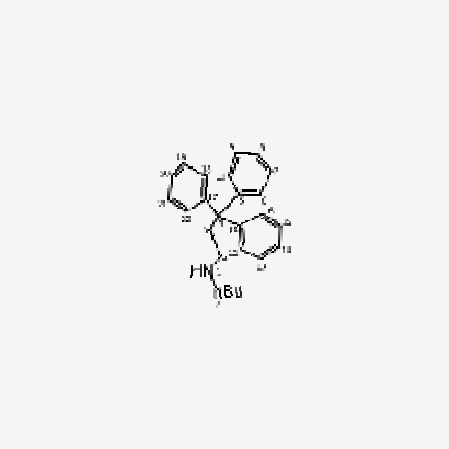 CCCCNCCC(c1ccccc1)(c1ccccc1)c1ccccc1